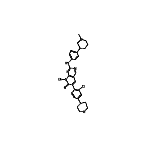 CCn1c(=O)c(-c2ncc(C3CCOCC3)cc2Cl)cc2cnc(Nc3ccc(C4CCCN(C)C4)cc3)nc21